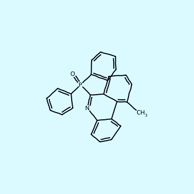 Cc1cccc2c(P(=O)(c3ccccc3)c3ccccc3)nc3ccccc3c12